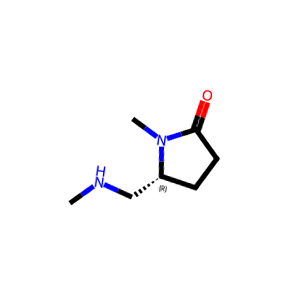 CNC[C@H]1CCC(=O)N1C